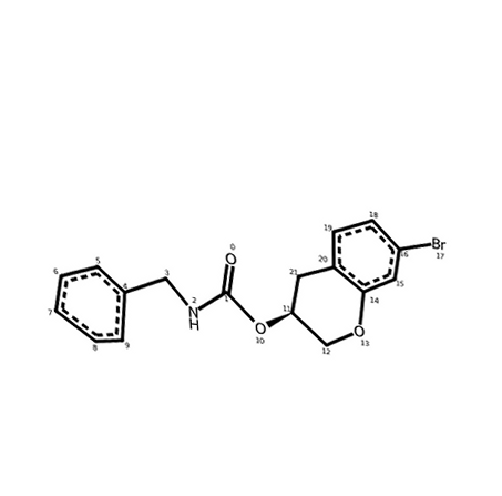 O=C(NCc1ccccc1)O[C@@H]1COc2cc(Br)ccc2C1